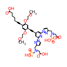 COCCOc1cc(C#Cc2cc(-n3ccc(CN(CC(=O)O)C[PH](=O)O)n3)nc(-n3ccc(CN(CC=O)CP(=O)(O)O)n3)c2)c(OCCOC)cc1C#CCCCCC(=O)O